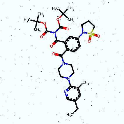 CCc1cnc(N2CCN(C(=O)c3ccc(N4CCCS4(=O)=O)cc3C(=O)N(C(=O)OC(C)(C)C)C(=O)OC(C)(C)C)CC2)c(C)c1